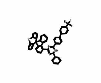 FC(F)(F)c1ccc(-c2ccc(C3=NC(c4cccc5c4-c4ccccc4C54c5ccccc5Oc5ccccc54)=NC(c4ccccc4)N3)cc2)cc1